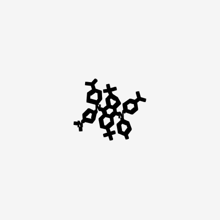 Cc1ccc(N(c2ccc(C(C)C)cc2)c2c3ccc(C(C)(C)C)cc3c(N(c3ccc(C(C)C)cc3)c3ccc(N(C)C)cc3)c3ccc(C(C)(C)C)cc23)cc1